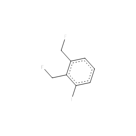 FCc1cccc(I)c1CF